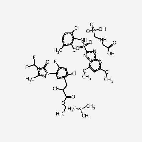 CCOC(=O)C(Cl)Cc1cc(-n2nc(C)n(C(F)F)c2=O)c(F)cc1Cl.COc1cc(OC)n2nc(S(=O)(=O)Nc3c(Cl)ccc(C)c3Cl)nc2n1.C[S+](C)C.O=C(O)CNCP(=O)([O-])O